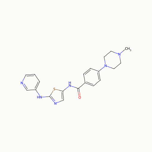 CN1CCN(c2ccc(C(=O)Nc3cnc(Nc4cccnc4)s3)cc2)CC1